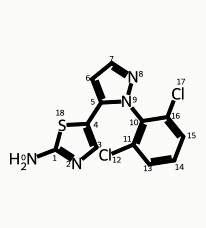 Nc1ncc(-c2ccnn2-c2c(Cl)cccc2Cl)s1